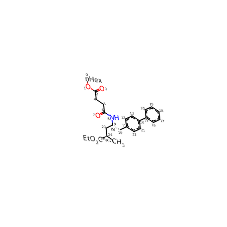 CCCCCCOC(=O)CCC(=O)N[C@H](Cc1ccc(-c2ccccc2)cc1)C[C@@H](C)C(=O)OCC